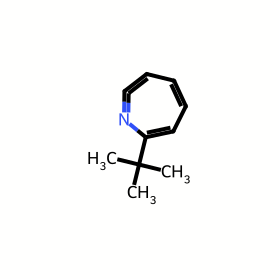 CC(C)(C)C1=CC=CC=C=N1